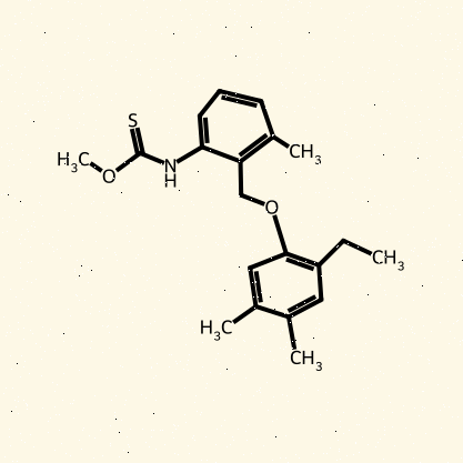 CCc1cc(C)c(C)cc1OCc1c(C)cccc1NC(=S)OC